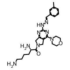 Cc1cccc(/C=N/Nc2nc3c(c(N4CCOCC4)n2)CN(C(=O)[C@H](N)CCCCN)C3)c1